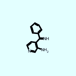 N=C(c1ccccc1)c1ccncc1N